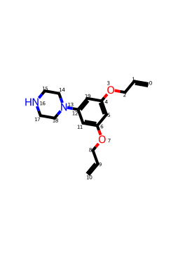 C=CCOc1cc(OCC=C)cc(N2CCNCC2)c1